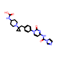 O=C(O)NC1CCN(C2(Cc3ccc(-n4ccc(NC(=O)n5ccnc5)nc4=O)cc3)CC2)CC1